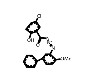 COc1ccc(-c2ccccc2)cc1N=[N+]=NC(=O)c1cc(Cl)ccc1O